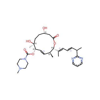 C/C(=C\C=C\C(C)c1ncccn1)[C@H]1OC(=O)C[C@@H](O)CC[C@](C)(O)[C@@H](OC(=O)N2CCN(C)CC2)/C=C/[C@@H]1C